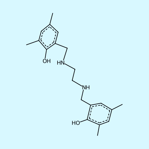 Cc1cc(C)c(O)c(CNCCNCc2cc(C)cc(C)c2O)c1